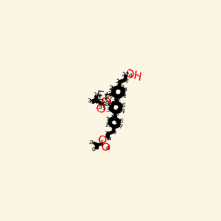 C=C(C)C(=O)OCCCc1ccc(-c2ccc(-c3ccc(CCCO)cc3CC)c(OC(=O)C(=C)C)c2)cc1